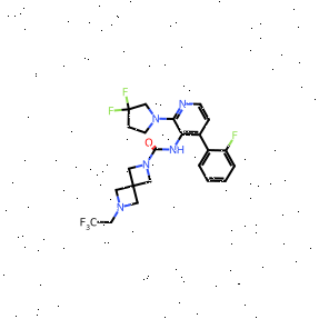 O=C(Nc1c(-c2ccccc2F)ccnc1N1CCC(F)(F)C1)N1CC2(CN(CC(F)(F)F)C2)C1